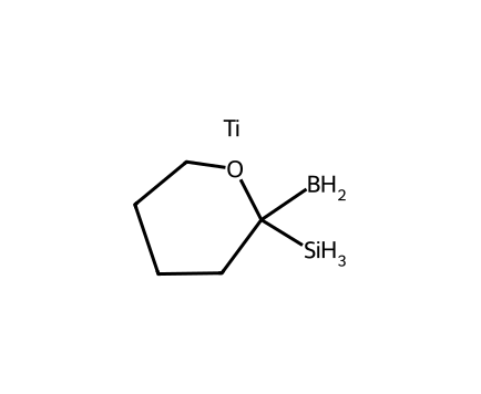 BC1([SiH3])CCCCO1.[Ti]